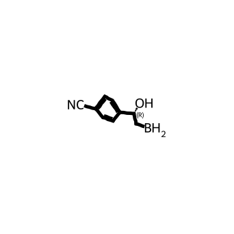 BC[C@@H](O)c1ccc(C#N)cc1